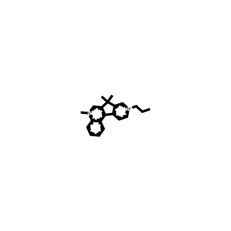 CCC[n+]1ccc2c(c1)C(C)(C)c1c[n+](C)c3ccccc3c1-2